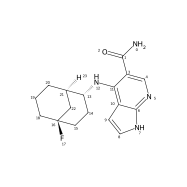 NC(=O)c1cnc2[nH]ccc2c1N[C@@H]1CC[C@]2(F)CCC[C@@H]1C2